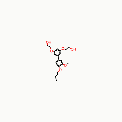 CCCCOc1ccc(-c2cc(OCCO)cc(OCCO)c2)cc1OC